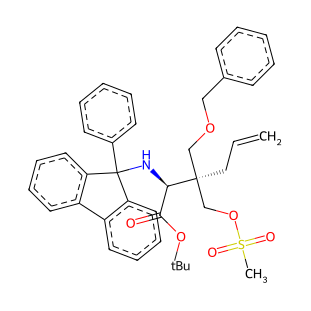 C=CC[C@](COCc1ccccc1)(COS(C)(=O)=O)[C@H](NC1(c2ccccc2)c2ccccc2-c2ccccc21)C(=O)OC(C)(C)C